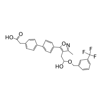 Cc1noc(-c2ccc(-c3ccc(CC(=O)O)cc3)cc2)c1CC(O)OCc1cccc(C(F)(F)F)c1